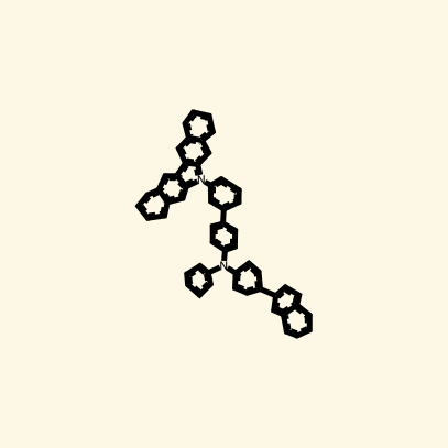 c1ccc(N(c2ccc(-c3cccc(-n4c5cc6ccccc6cc5c5cc6ccccc6cc54)c3)cc2)c2ccc(-c3ccc4ccccc4c3)cc2)cc1